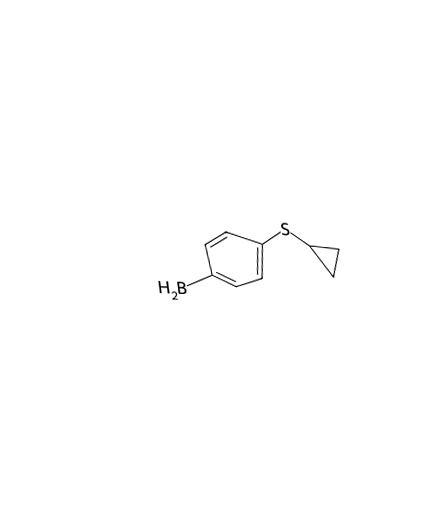 Bc1ccc(SC2CC2)cc1